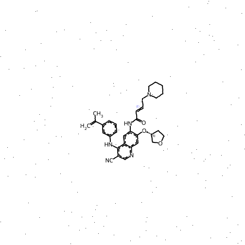 C=C(C)c1cccc(Nc2c(C#N)cnc3cc(O[C@H]4CCOC4)c(NC(=O)/C=C/CN4CCCCC4)cc23)c1